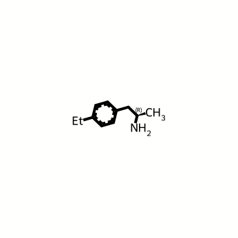 CCc1ccc(C[C@@H](C)N)cc1